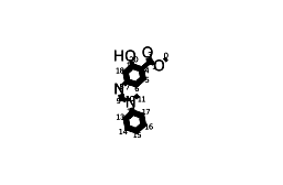 COC(=O)c1ccc(/N=C\N(C)c2ccccc2)cc1O